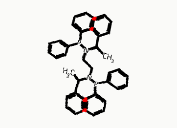 CC(c1ccccc1)N(CCN(C(C)c1ccccc1)P(c1ccccc1)c1ccccc1)P(c1ccccc1)c1ccccc1